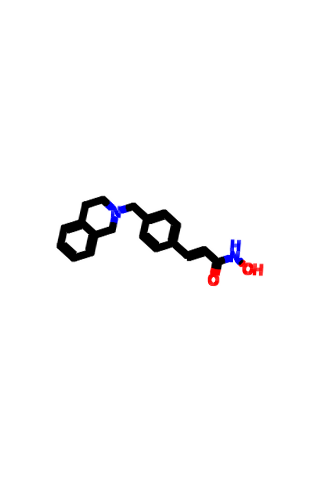 O=C(/C=C/c1ccc(CN2CCc3ccccc3C2)cc1)NO